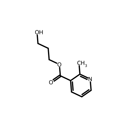 Cc1ncccc1C(=O)OCCCO